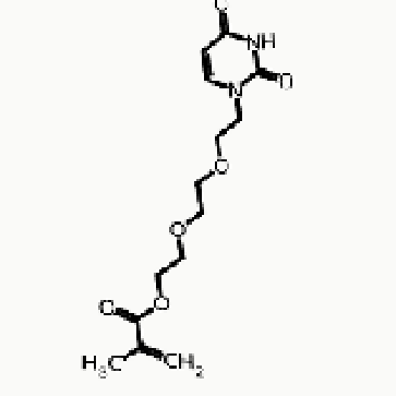 C=C(C)C(=O)OCCOCCOCCn1ccc(=O)[nH]c1=O